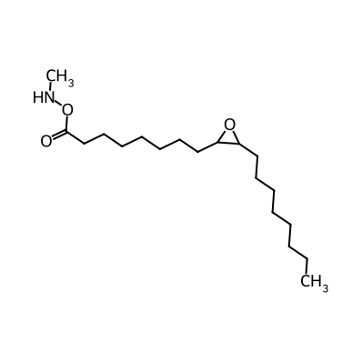 CCCCCCCCC1OC1CCCCCCCC(=O)ONC